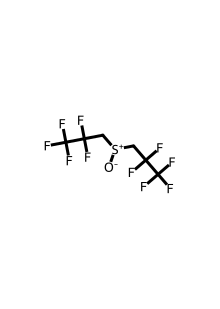 [O-][S+](CC(F)(F)C(F)(F)F)CC(F)(F)C(F)(F)F